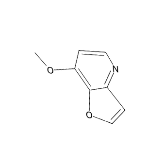 COc1ccnc2ccoc12